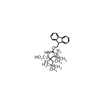 CCC(C[N+](C)(C)C)(C[N+](C)(C)C)[C@@H](NC(=O)OCC1c2ccccc2-c2ccccc21)C(=O)O